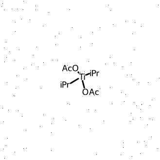 CC(=O)[O][Ti]([O]C(C)=O)([CH](C)C)[CH](C)C